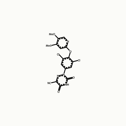 COc1cnc(Oc2c(Cl)cc(-n3nc(C#N)c(=O)[nH]c3=O)cc2Cl)cc1SC